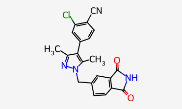 Cc1nn(Cc2ccc3c(c2)C(=O)NC3=O)c(C)c1-c1ccc(C#N)c(Cl)c1